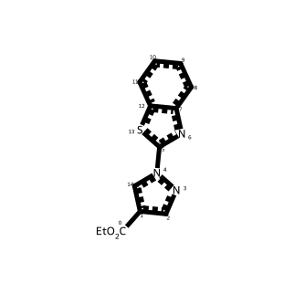 CCOC(=O)c1cnn(-c2nc3ccccc3s2)c1